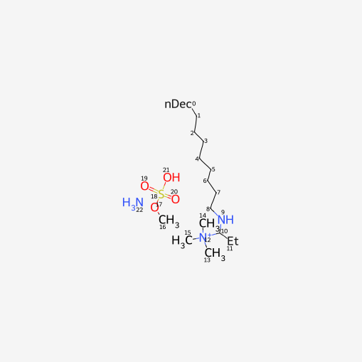 CCCCCCCCCCCCCCCCCCNC(CC)[N+](C)(C)C.COS(=O)(=O)O.N